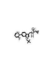 CC(C)(C)Cn1cc(CN[S+]([O-])C2CC2)c2ccc(-c3ncccc3F)cc21